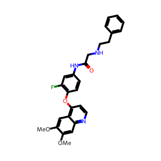 COc1cc2nccc(Oc3ccc(NC(=O)CNCCc4ccccc4)cc3F)c2cc1OC